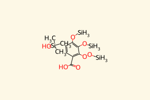 C[Si](C)(C)O.O=C(O)c1ccc(O[SiH3])c(O[SiH3])c1OO[SiH3]